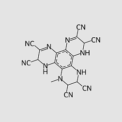 CN1c2c3c(c4c(c2NC(C#N)C1C#N)NC(C#N)C(C#N)=N4)N=C(C#N)C(C#N)N3